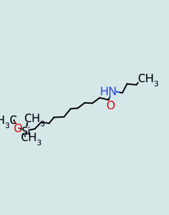 CCCCNC(=O)CCCCCCCCCC[Si](C)(C)OC